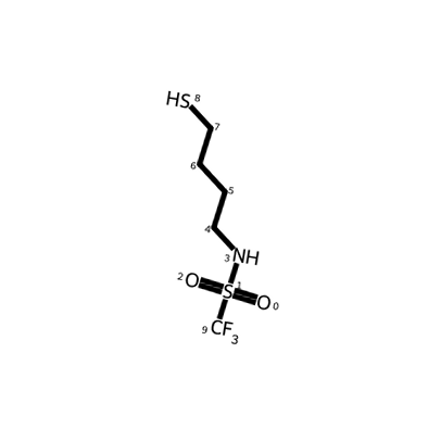 O=S(=O)(NCCCCS)C(F)(F)F